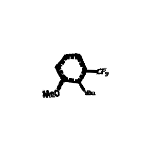 COc1cccc(C(F)(F)F)c1C(C)(C)C